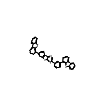 c1cc(-c2cnc3c(n2)oc2cc(-c4cccc5c4sc4ccccc45)ccc23)cc(-c2cccc3c2sc2ccccc23)c1